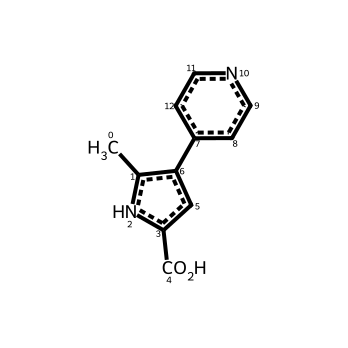 Cc1[nH]c(C(=O)O)cc1-c1ccncc1